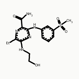 CCc1nc(C(N)=O)c(Nc2cccc(S(C)(=O)=O)c2)nc1NCCO